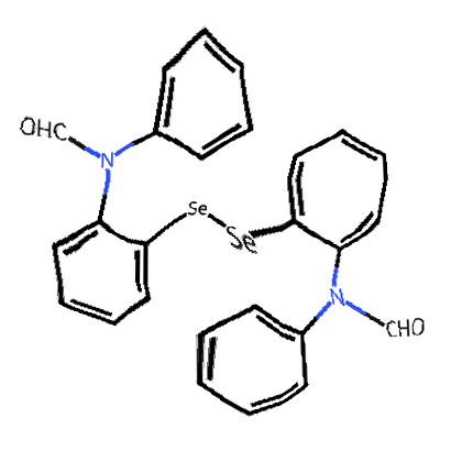 O=CN(c1ccccc1)c1ccccc1[Se][Se]c1ccccc1N(C=O)c1ccccc1